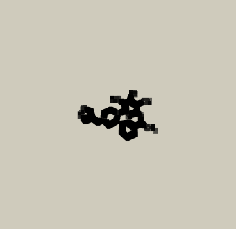 CCc1c(C#N)c(SC(C)c2ccccc2)nc(N2CCN(Cc3cnoc3)CC2)c1C#N